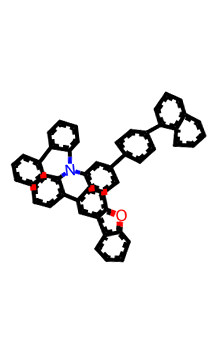 c1ccc(-c2ccccc2N(c2cccc(-c3ccc(-c4cccc5ccccc45)cc3)c2)c2ccccc2-c2ccc3oc4ccccc4c3c2)cc1